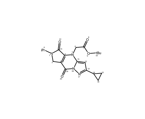 CC(C)N1Cc2c(n(CC(=O)OC(C)(C)C)c3cc(C4CC4)nn3c2=O)C1=O